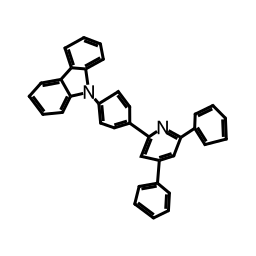 c1ccc(-c2cc(-c3ccccc3)nc(-c3ccc(-n4c5ccccc5c5ccccc54)cc3)c2)cc1